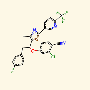 Cc1nc(-c2ccc(C(F)(F)F)nc2)sc1C(Cc1ccc(F)cc1)Oc1ccc(C#N)c(Cl)c1